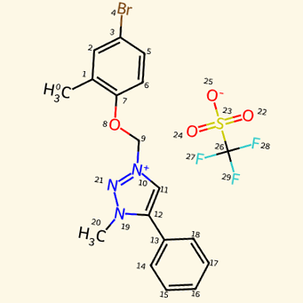 Cc1cc(Br)ccc1OC[n+]1cc(-c2ccccc2)n(C)n1.O=S(=O)([O-])C(F)(F)F